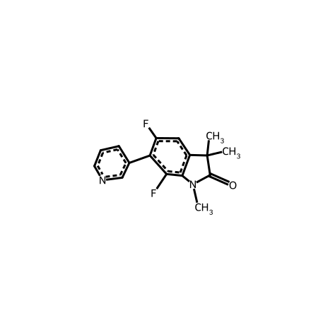 CN1C(=O)C(C)(C)c2cc(F)c(-c3cccnc3)c(F)c21